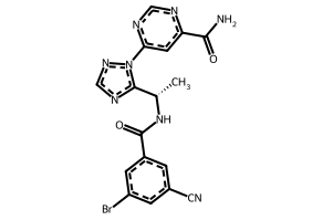 C[C@H](NC(=O)c1cc(Br)cc(C#N)c1)c1ncnn1-c1cc(C(N)=O)ncn1